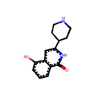 O=c1[nH]c(C2CCNCC2)cc2c(O)cccc12